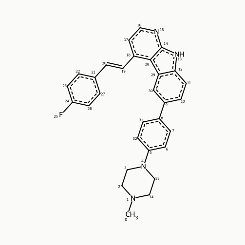 CN1CCN(c2ccc(-c3ccc4[nH]c5nccc(C=Cc6ccc(F)cc6)c5c4c3)cc2)CC1